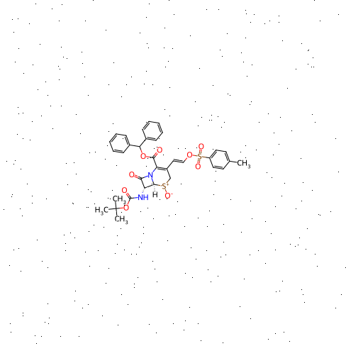 Cc1ccc(S(=O)(=O)O/C=C/C2=C(C(=O)OC(c3ccccc3)c3ccccc3)N3C(=O)[C@@H](NC(=O)OC(C)(C)C)[C@@H]3[S+]([O-])C2)cc1